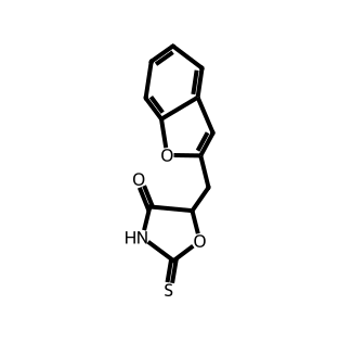 O=C1NC(=S)OC1Cc1cc2ccccc2o1